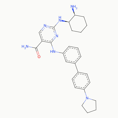 NC(=O)c1cnc(N[C@@H]2CCCC[C@@H]2N)nc1Nc1cccc(-c2ccc(N3CCCC3)cc2)c1